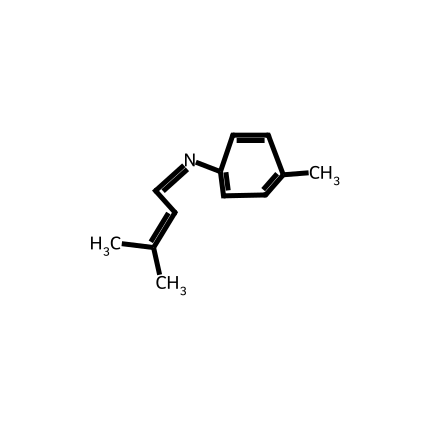 CC(C)=C/C=N\c1ccc(C)cc1